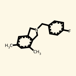 Cc1cc(C)c2c(c1)CN(Cc1ccc(F)cc1)C2